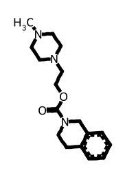 CN1CCN(CCOC(=O)N2CCc3ccccc3C2)CC1